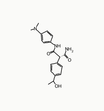 CC(O)c1ccc([C@@H](C(N)=O)C(=O)Nc2ccc(N(C)C)cc2)cc1